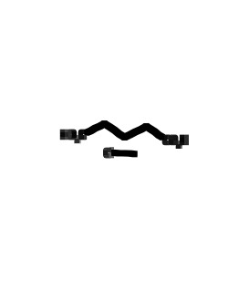 CCl.O=C(O)CCCC(=O)O